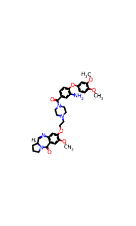 COc1ccc(Oc2ccc(C(=O)N3CCN(CCOc4cc5c(cc4OC)C(=O)N4CCC[C@H]4C=N5)CC3)cc2N)cc1OC